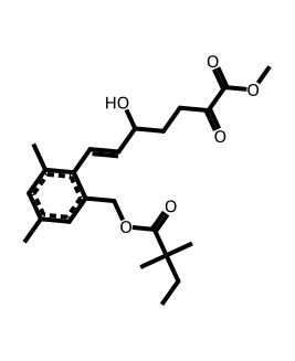 CCC(C)(C)C(=O)OCc1cc(C)cc(C)c1/C=C/C(O)CCC(=O)C(=O)OC